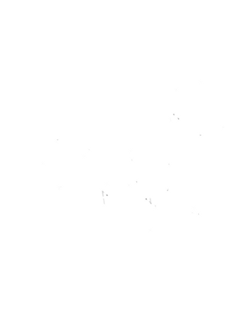 O=[C]CN(C(=O)C=Cc1ccccn1)C(=O)Nc1cccs1